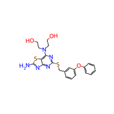 Nc1nc2nc(SCc3cccc(Oc4ccccc4)c3)nc(N(CCO)CCO)c2s1